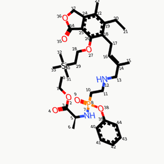 CCOC(=O)[C@H](C)NP(=O)(CCNC/C(C)=C/Cc1c(CC)c(C)c2c(c1OCC[Si](C)(C)C)C(=O)OC2)Oc1ccccc1